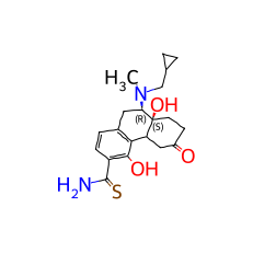 CN(CC1CC1)[C@@H]1Cc2ccc(C(N)=S)c(O)c2C2CC(=O)CC[C@]21O